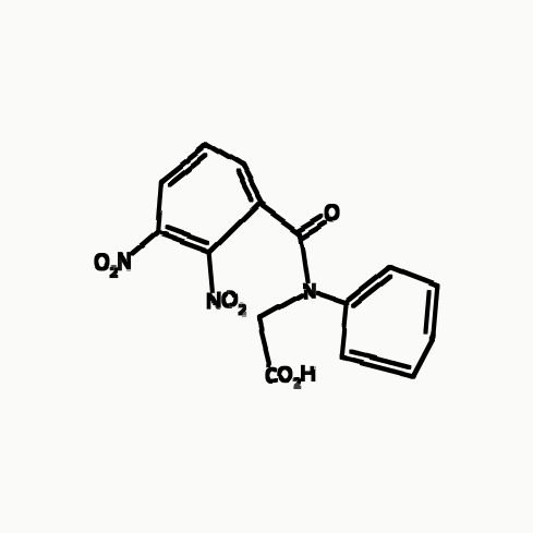 O=C(O)CN(C(=O)c1cccc([N+](=O)[O-])c1[N+](=O)[O-])c1ccccc1